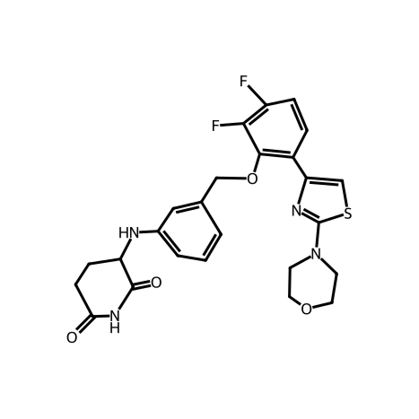 O=C1CCC(Nc2cccc(COc3c(-c4csc(N5CCOCC5)n4)ccc(F)c3F)c2)C(=O)N1